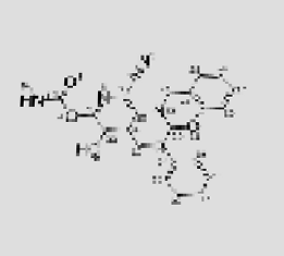 CNC(=O)Oc1nc(C#N)c2c(cc(-c3ccccc3)c(=O)n2Cc2ccccc2)c1O